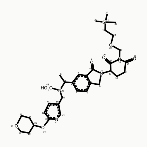 CC(c1ccc2c(c1)C(=O)N(C1CCC(=O)N(COCC[Si](C)(C)C)C1=O)C2)N(Cc1ccc(OC2CCOCC2)nc1)C(=O)O